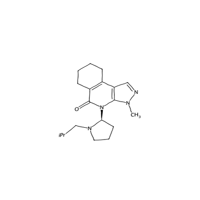 CC(C)CN1CCC[C@@H]1n1c(=O)c2c(c3cnn(C)c31)CCCC2